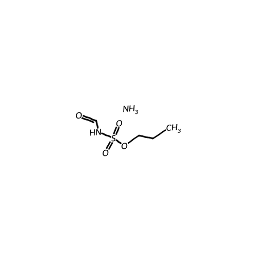 CCCOS(=O)(=O)NC=O.N